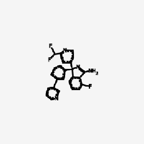 NC1=N[C@@](c2cccc(-c3cccnc3)c2)(c2ccnc(C(F)F)c2)c2cccc(F)c21